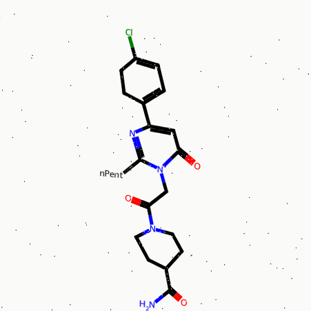 CCCCCc1nc(C2=CC=C(Cl)CC2)cc(=O)n1CC(=O)N1CCC(C(N)=O)CC1